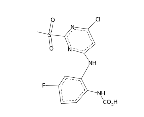 CS(=O)(=O)c1nc(Cl)cc(Nc2cc(F)ccc2NC(=O)O)n1